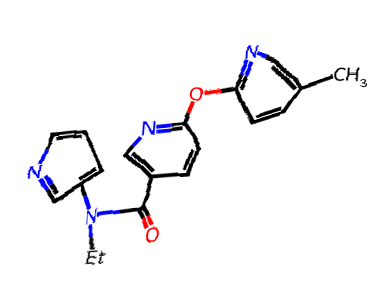 CCN(C(=O)c1ccc(Oc2ccc(C)cn2)nc1)c1cccnc1